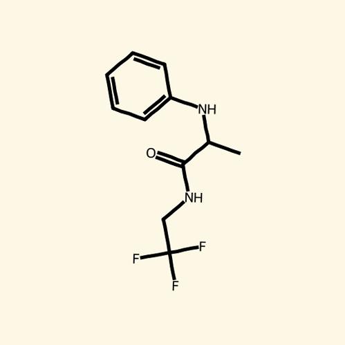 CC(Nc1ccccc1)C(=O)NCC(F)(F)F